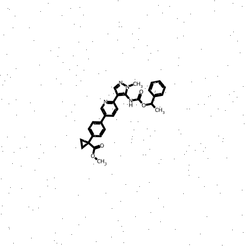 COC(=O)C1(c2ccc(-c3ccc(-c4cnn(C)c4NC(=O)OC(C)c4ccccc4)nc3)cc2)CC1